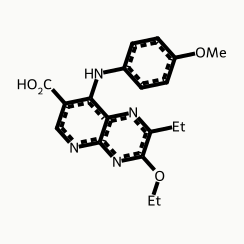 CCOc1nc2ncc(C(=O)O)c(Nc3ccc(OC)cc3)c2nc1CC